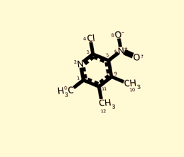 Cc1nc(Cl)c([N+](=O)[O-])c(C)c1C